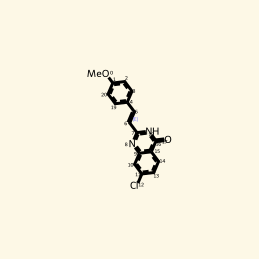 COc1ccc(/C=C/c2nc3cc(Cl)ccc3c(=O)[nH]2)cc1